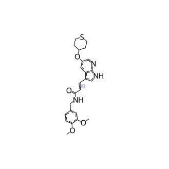 COc1ccc(CNC(=O)/C=C/c2c[nH]c3ncc(OC4CCSCC4)cc23)cc1OC